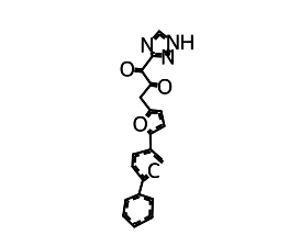 O=C(Cc1ccc(-c2ccc(-c3ccccc3)cc2)o1)C(=O)c1nc[nH]n1